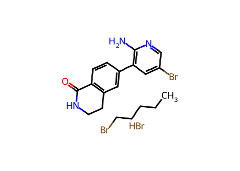 Br.CCCCCBr.Nc1ncc(Br)cc1-c1ccc2c(c1)CCNC2=O